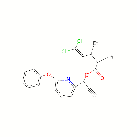 C#CC(OC(=O)C(C(C)C)C(C=C(Cl)Cl)CC)c1cccc(Oc2ccccc2)n1